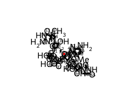 COCC[C@H]1[C@@H](O)[C@H](n2c[n+](C)c3c(=O)[nH]c(N)nc32)O[C@@H]1COP(=O)(O)OP(=O)(O)OP(=O)(O)OC[C@H]1O[C@@H](n2cnc3c(N)ncnc32)[C@H](OC)[C@@H]1CP(=O)([O-])OC[C@H]1O[C@@H](n2ccc(=O)[nH]c2=O)[C@H](O)[C@@H]1O